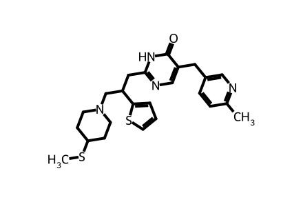 CSC1CCN(CC(Cc2ncc(Cc3ccc(C)nc3)c(=O)[nH]2)c2cccs2)CC1